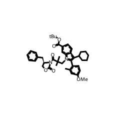 COc1ccc(-c2c(C3CCCCC3)c3ccc(C(=O)OC(C)(C)C)cc3n2CC(C)(C)C(=O)N2C(=O)OC[C@H]2Cc2ccccc2)c(C)c1